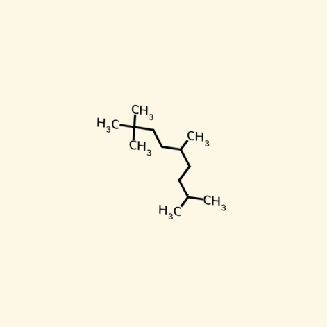 C[C](C)CCC(C)CCC(C)(C)C